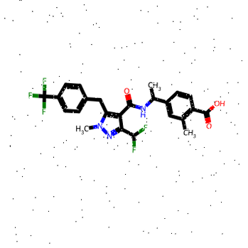 Cc1cc(C(C)NC(=O)c2c(C(F)F)nn(C)c2Cc2ccc(C(F)(F)F)cc2)ccc1C(=O)O